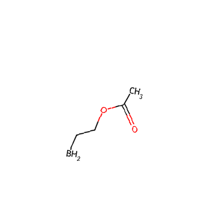 BCCOC(C)=O